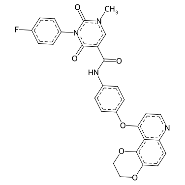 Cn1cc(C(=O)Nc2ccc(Oc3ccnc4ccc5c(c34)OCCO5)cc2)c(=O)n(-c2ccc(F)cc2)c1=O